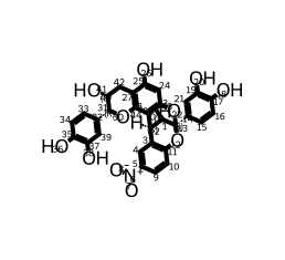 C[C@H]1[C@H]2c3cc([N+](=O)[O-])ccc3O[C@]1(c1ccc(O)c(O)c1)Oc1cc(O)c3c(c12)O[C@H](c1ccc(O)c(O)c1)[C@@H](O)C3